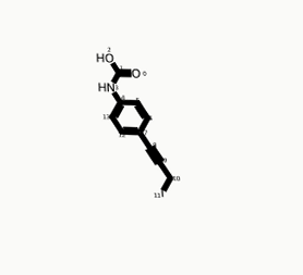 O=C(O)Nc1ccc(C#CCI)cc1